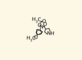 COc1ccc(N(OC(C)=O)C(=O)C2CCNCC2)cc1